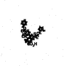 CN1CCC[C@H]1COCC(C)(C)c1nc2c(c(N3CCN(C(=O)OCc4ccccc4)[C@@H](CC#N)C3)n1)CC1(CC1)N(C(=O)O)C2